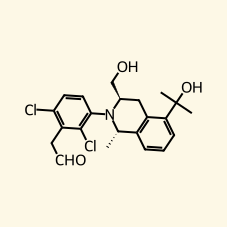 C[C@H]1c2cccc(C(C)(C)O)c2C[C@H](CO)N1c1ccc(Cl)c(CC=O)c1Cl